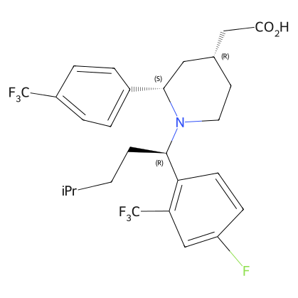 CC(C)CC[C@H](c1ccc(F)cc1C(F)(F)F)N1CC[C@@H](CC(=O)O)C[C@H]1c1ccc(C(F)(F)F)cc1